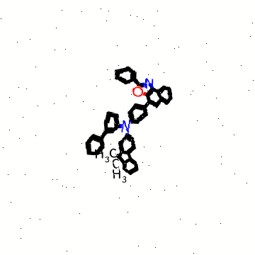 CC1(C)c2ccccc2-c2ccc(N(c3ccc(-c4cc5ccccc5c5nc(-c6ccccc6)oc45)cc3)c3cccc(-c4ccccc4)c3)cc21